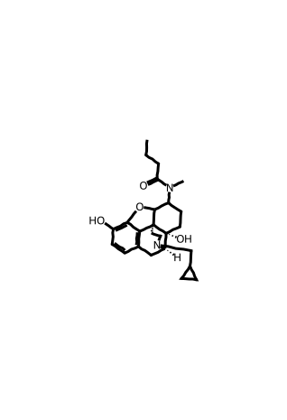 CCCC(=O)N(C)C1CC[C@@]2(O)[C@H]3Cc4ccc(O)c5c4[C@@]2(CCN3CC2CC2)C1O5